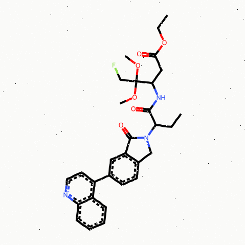 CCOC(=O)CC(NC(=O)C(CC)N1Cc2ccc(-c3ccnc4ccccc34)cc2C1=O)C(CF)(OC)OC